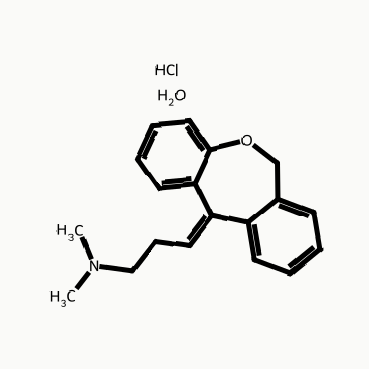 CN(C)CCC=C1c2ccccc2COc2ccccc21.Cl.O